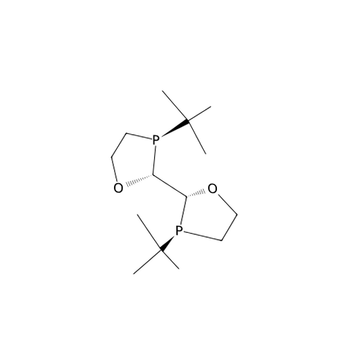 CC(C)(C)[P@]1CCO[C@H]1[C@@H]1OCC[P@@]1C(C)(C)C